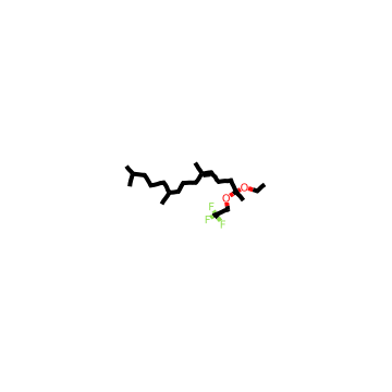 CCOC(C)(CCC=C(C)CCCC(C)CCCC(C)C)OCC(F)(F)F